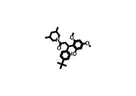 COc1cc(O)c(C(CC(=O)N2CC(C)CC(C)C2)c2ccc(C(C)(C)C)cc2)c(OC)c1